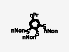 [CH2]CCc1cc(SCCCCCCCCC)c(SCCCCCCCCC)c(SCCCCCCCCC)c1